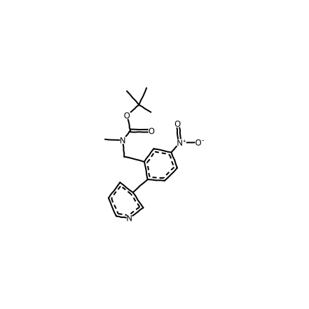 CN(Cc1cc([N+](=O)[O-])ccc1-c1cccnc1)C(=O)OC(C)(C)C